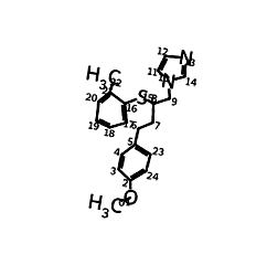 COc1ccc(CCC(Cn2ccnc2)Sc2ccccc2C)cc1